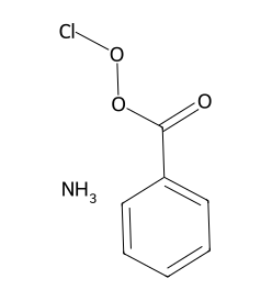 N.O=C(OOCl)c1ccccc1